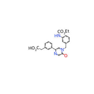 CCOC(=O)Nc1cccc(Cn2cc(-c3cccc(CC(=O)O)c3)ncc2=O)c1